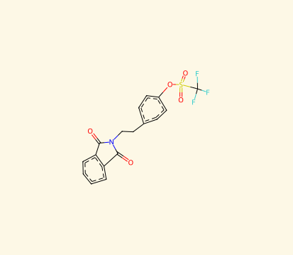 O=C1c2ccccc2C(=O)N1CCc1ccc(OS(=O)(=O)C(F)(F)F)cc1